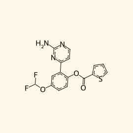 Nc1nccc(-c2cc(OC(F)F)ccc2OC(=O)c2cccs2)n1